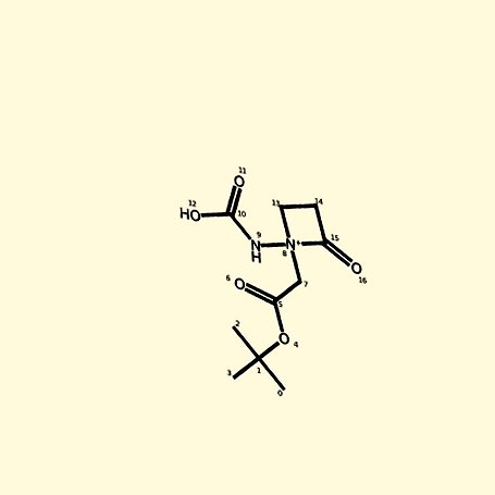 CC(C)(C)OC(=O)C[N+]1(NC(=O)O)CCC1=O